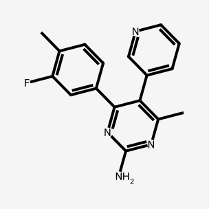 Cc1ccc(-c2nc(N)nc(C)c2-c2cccnc2)cc1F